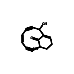 O=C1C2=CCCC1(O)C#C/C=C\C#CC2O